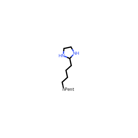 CCCCCCCCCC1NCCN1